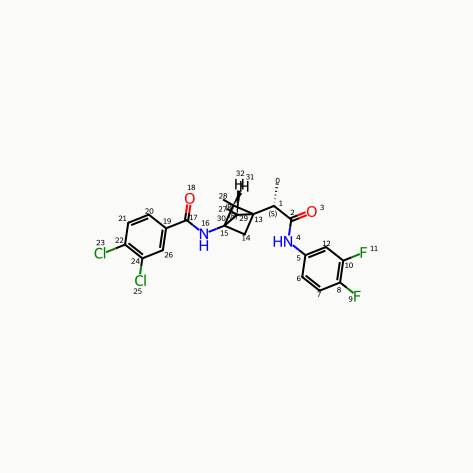 C[C@H](C(=O)Nc1ccc(F)c(F)c1)C12CC(NC(=O)c3ccc(Cl)c(Cl)c3)([C@@H]1C)[C@@H]2C